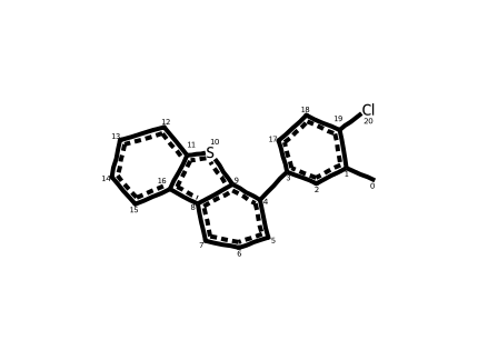 Cc1cc(-c2cccc3c2sc2ccccc23)ccc1Cl